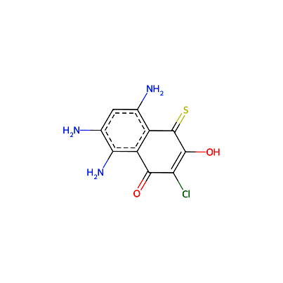 Nc1cc(N)c2c(c1N)C(=O)C(Cl)=C(O)C2=S